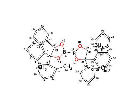 Cc1ccccc1C1(c2ccccc2C)OB(B2O[C@H](c3ccccc3)C(c3ccccc3C)(c3ccccc3C)O2)O[C@@H]1c1ccccc1